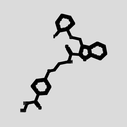 O=C(NO)c1ccc(OCCNC(=O)c2oc3ccccc3c2COc2ccccc2F)cc1